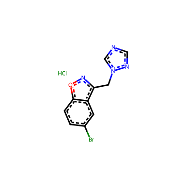 Brc1ccc2onc(Cn3cncn3)c2c1.Cl